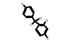 Fc1ccc(C(Cl)(Cl)c2ccc(F)cc2Cl)cc1